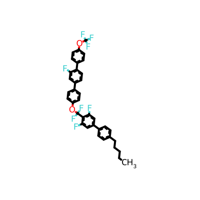 CCCCCc1ccc(-c2cc(F)c(C(F)(F)Oc3ccc(-c4ccc(-c5ccc(OC(F)(F)F)cc5)c(F)c4)cc3)c(F)c2)cc1